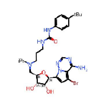 CC(C)N(CCCNC(=O)Nc1ccc(C(C)(C)C)cc1)C[C@H]1O[C@@H](c2cc(Br)c3c(N)ncnn23)[C@H](O)[C@@H]1O